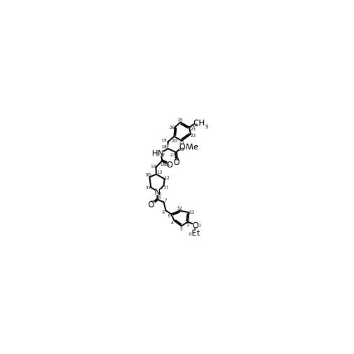 CCOc1ccc(CCC(=O)N2CCC(CC(=O)N[C@@H](Cc3ccc(C)cc3)C(=O)OC)CC2)cc1